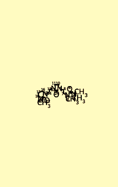 CN(C)C(=O)N(C)CCN1CCN(CCN2CCCN(C)C2=O)C1=O